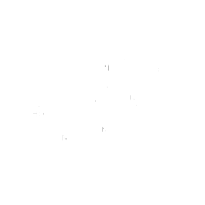 Cc1cnc(-c2cc(O)ncn2)[nH]1